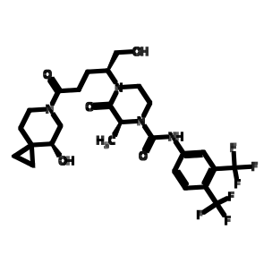 C[C@H]1C(=O)N([C@H](CO)CCC(=O)N2CCC3(CC3)[C@H](O)C2)CCN1C(=O)Nc1ccc(C(F)(F)F)c(C(F)(F)F)c1